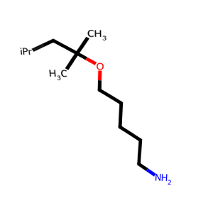 CC(C)CC(C)(C)OCCCCCN